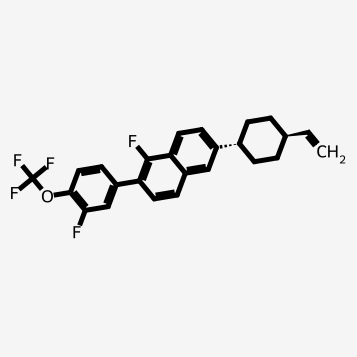 C=C[C@H]1CC[C@H](c2ccc3c(F)c(-c4ccc(OC(F)(F)F)c(F)c4)ccc3c2)CC1